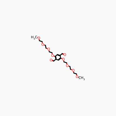 COCCOCCOCCOc1cc(C=O)c(OCCOCCOCCOC)cc1C=O